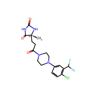 C[C@]1(CCC(=O)N2CCN(c3ccc(Cl)c(C(F)F)c3)CC2)NC(=O)NC1=O